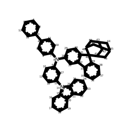 c1ccc(-c2ccc(N(c3cccc(-n4c5ccccc5c5ccccc54)c3)c3ccc4c(c3)-c3ccccc3C43C4CC5CC(C4)CC3C5)cc2)cc1